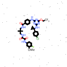 COc1cc(NC(=O)C(=O)NCC(C)(C)CNC(=O)c2ccc(Nc3nc(NC4(c5ccc(Cl)cc5)CC4)nc(OCC(F)(F)F)n3)cc2)ccc1F